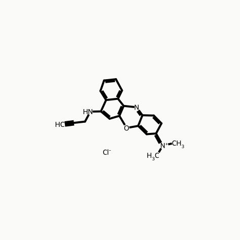 C#CCNc1cc2oc3cc(=[N+](C)C)ccc-3nc2c2ccccc12.[Cl-]